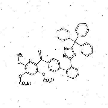 CCCCOc1nc(C(=O)c2ccc(-c3ccccc3-c3nnn(C(c4ccccc4)(c4ccccc4)c4ccccc4)n3)cc2)c(OC(=O)OCC)cc1OC(=O)OCC